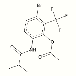 CC(=O)Oc1c(NC(=O)C(C)C)ccc(Br)c1C(F)(F)F